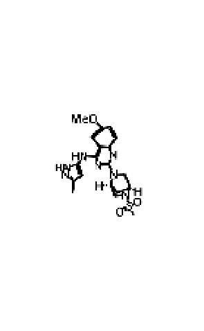 COc1ccc2nc(N3C[C@@H]4C[C@H]3CN4S(C)(=O)=O)nc(Nc3cc(C)n[nH]3)c2c1